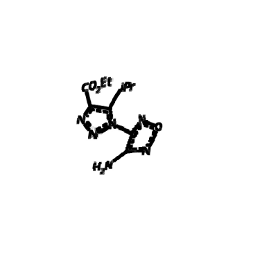 CCOC(=O)c1nnn(-c2nonc2N)c1C(C)C